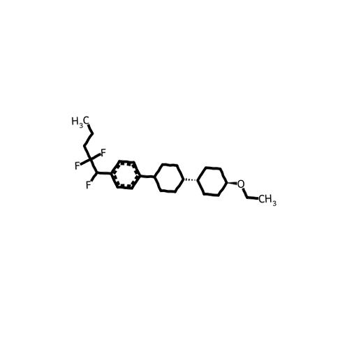 CCCC(F)(F)C(F)c1ccc(C2CCC([C@H]3CC[C@H](OCC)CC3)CC2)cc1